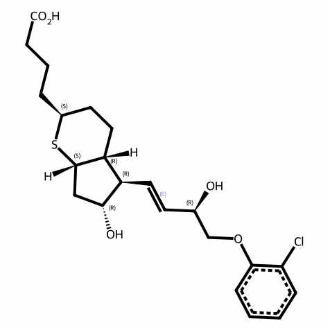 O=C(O)CCC[C@H]1CC[C@@H]2[C@@H](/C=C/[C@@H](O)COc3ccccc3Cl)[C@H](O)C[C@@H]2S1